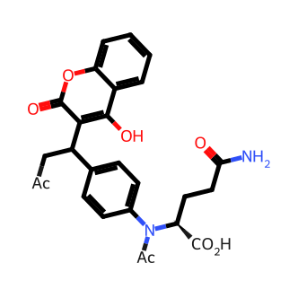 CC(=O)CC(c1ccc(N(C(C)=O)[C@@H](CCC(N)=O)C(=O)O)cc1)c1c(O)c2ccccc2oc1=O